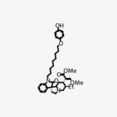 CC[C@H]1CN2CC[C@]3(C(=O)N(CCCCCCCCCOc4ccc(O)cc4)c4ccccc43)C2C[C@@H]1/C(=C\OC)C(=O)OC